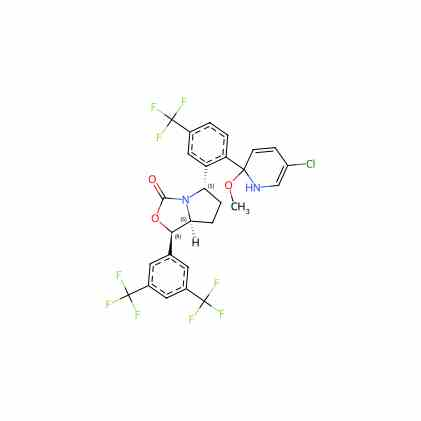 COC1(c2ccc(C(F)(F)F)cc2[C@@H]2CC[C@H]3[C@@H](c4cc(C(F)(F)F)cc(C(F)(F)F)c4)OC(=O)N23)C=CC(Cl)=CN1